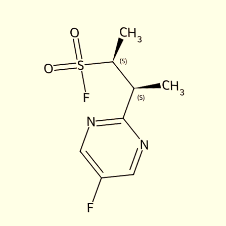 C[C@@H](c1ncc(F)cn1)[C@H](C)S(=O)(=O)F